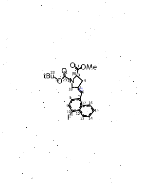 COC(=O)[C@H]1C/C(=C/c2ccc(F)c3ccccc23)CN1C(=O)OC(C)(C)C